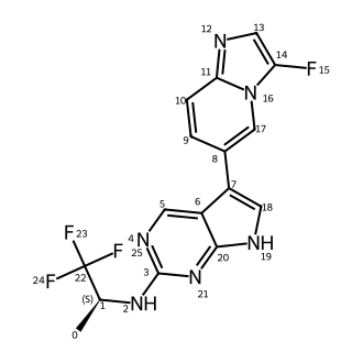 C[C@H](Nc1ncc2c(-c3ccc4ncc(F)n4c3)c[nH]c2n1)C(F)(F)F